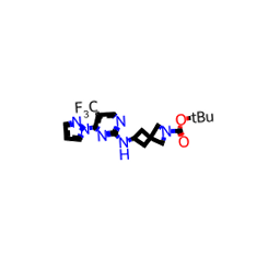 CC(C)(C)OC(=O)N1CC2(CC(Nc3ncc(C(F)(F)F)c(-n4cccn4)n3)C2)C1